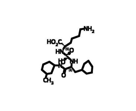 CC1CCCC(NC(=O)[C@H](CC2CCCCC2)NS(=O)(=O)N[C@@H](CCCCN)C(=O)O)C1